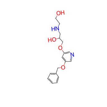 OCCNCC(O)COc1cncc(OCc2ccccc2)c1